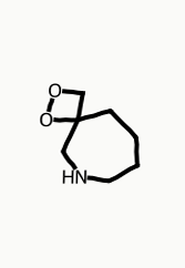 C1CCC2(CNC1)COO2